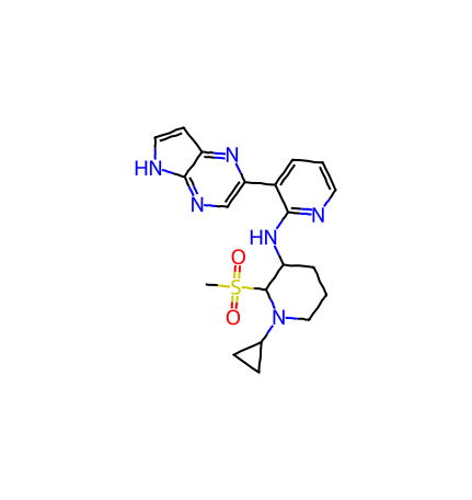 CS(=O)(=O)C1C(Nc2ncccc2-c2cnc3[nH]ccc3n2)CCCN1C1CC1